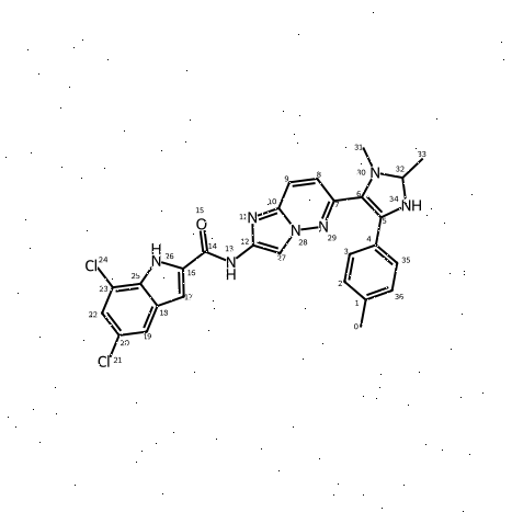 Cc1ccc(C2=C(c3ccc4nc(NC(=O)c5cc6cc(Cl)cc(Cl)c6[nH]5)cn4n3)N(C)C(C)N2)cc1